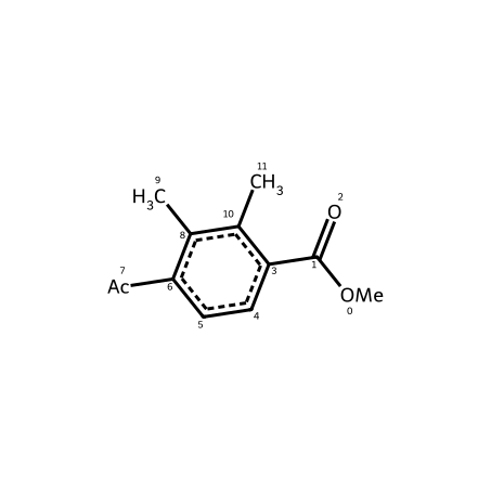 COC(=O)c1ccc(C(C)=O)c(C)c1C